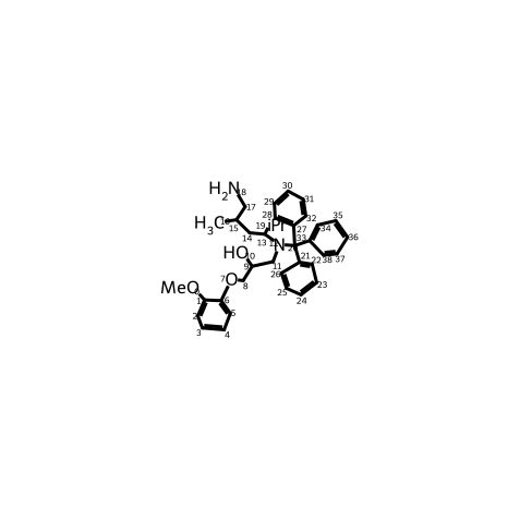 COc1ccccc1OCC(O)CN(C(CC(C)CN)C(C)C)C(c1ccccc1)(c1ccccc1)c1ccccc1